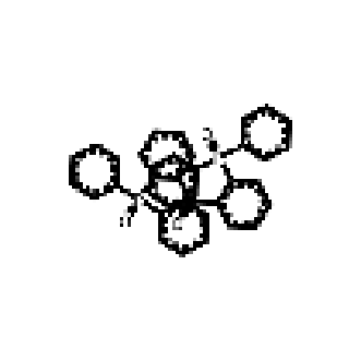 O=C(c1ccccc1P(=O)(c1ccccc1)c1ccccc1)c1ccccc1P(=O)(c1ccccc1)c1ccccc1